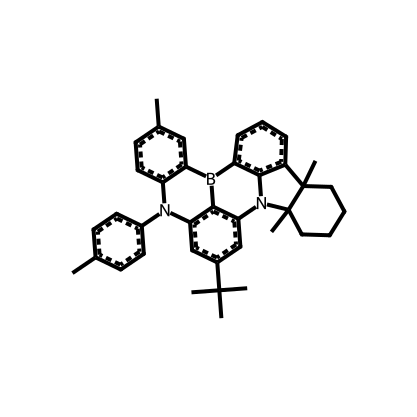 Cc1ccc(N2c3ccc(C)cc3B3c4cccc5c4N(c4cc(C(C)(C)C)cc2c43)C2(C)CCCCC52C)cc1